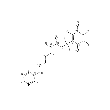 CC1=C(C)C(=O)C(C(C)(C)CC(=O)N(C)CCCOCc2cccnc2)=C(C)C1=O